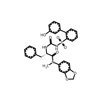 CN(C(=O)[C@H](Cc1ccccc1)NC(=O)NS(=O)(=O)c1ccccc1-c1cccc(O)c1)c1ccc2c(c1)OCO2